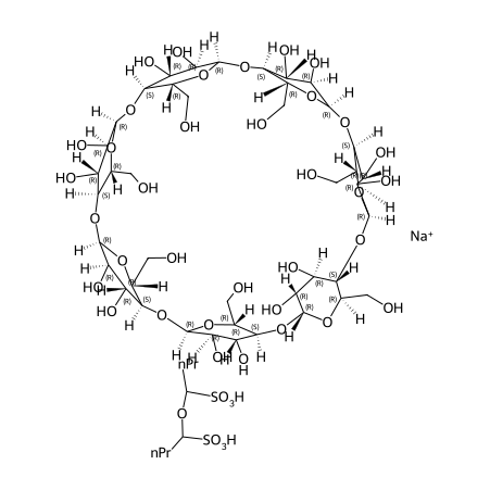 CCCC(OC(CCC)S(=O)(=O)O)S(=O)(=O)O.OC[C@H]1O[C@@H]2O[C@H]3[C@H](O)[C@@H](O)[C@@H](O[C@H]4[C@H](O)[C@@H](O)[C@@H](O[C@H]5[C@H](O)[C@@H](O)[C@@H](O[C@H]6[C@H](O)[C@@H](O)[C@@H](O[C@H]7[C@H](O)[C@@H](O)[C@@H](O[C@H]8[C@H](O)[C@@H](O)[C@@H](O[C@H]1[C@H](O)[C@H]2O)O[C@@H]8CO)O[C@@H]7CO)O[C@@H]6CO)O[C@@H]5CO)O[C@@H]4CO)O[C@@H]3CO.[Na+]